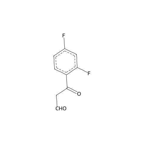 O=CCC(=O)c1ccc(F)cc1F